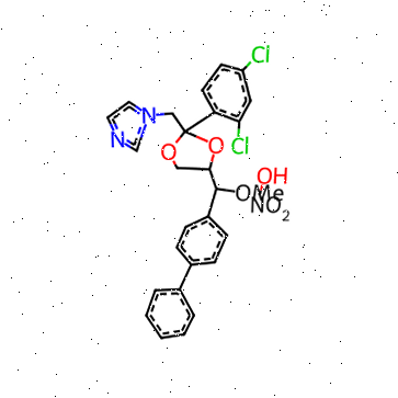 COC(c1ccc(-c2ccccc2)cc1)C1COC(Cn2ccnc2)(c2ccc(Cl)cc2Cl)O1.O=[N+]([O-])O